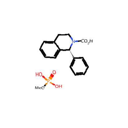 COP(=O)(O)O.O=C(O)N1CCc2ccccc2[C@H]1c1ccccc1